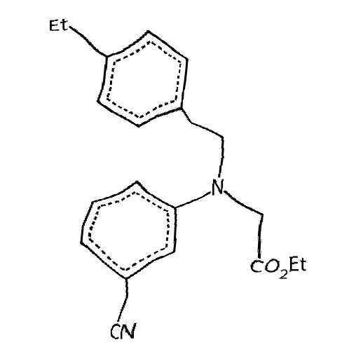 CCOC(=O)CN(Cc1ccc(CC)cc1)c1cccc(C#N)c1